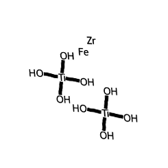 [Fe].[OH][Ti]([OH])([OH])[OH].[OH][Ti]([OH])([OH])[OH].[Zr]